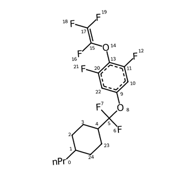 CCCC1CCC(C(F)(F)Oc2cc(F)c(OC(F)=C(F)F)c(F)c2)CC1